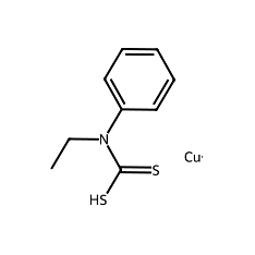 CCN(C(=S)S)c1ccccc1.[Cu]